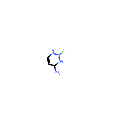 N[C]1C=CNN(F)N1